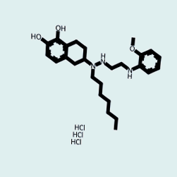 CCCCCCCN(NCCNc1ccccc1OC)C1CCc2c(ccc(O)c2O)C1.Cl.Cl.Cl